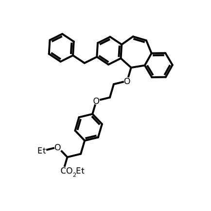 CCOC(=O)C(Cc1ccc(OCCOC2c3ccccc3C=Cc3ccc(Cc4ccccc4)cc32)cc1)OCC